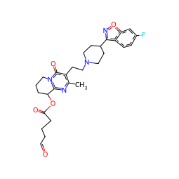 Cc1nc2n(c(=O)c1CCN1CCC(c3noc4cc(F)ccc34)CC1)CCCC2OC(=O)CCCC=O